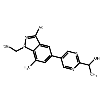 CC(=O)c1nn(CC(C)(C)C)c2c(C)cc(-c3cnc(C(C)O)nc3)cc12